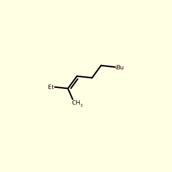 CCC(C)=CCCC(C)CC